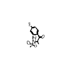 CC(NS(C)(=O)=O)C(=O)c1ccc(F)cc1